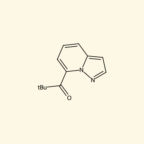 CC(C)(C)C(=O)c1cccc2ccnn12